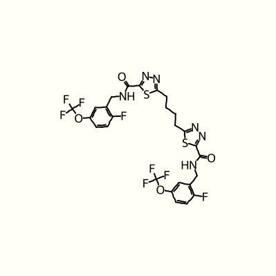 O=C(NCc1cc(OC(F)(F)F)ccc1F)c1nnc(CCCCc2nnc(C(=O)NCc3cc(OC(F)(F)F)ccc3F)s2)s1